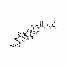 CN(C)CCCNc1ccc(-c2ccc(N3C[C@H](CO)OC3=O)cc2F)cn1